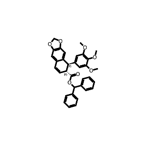 COc1cc([C@@H]2c3cc4c(cc3C=C[C@H]2C(=O)OC(c2ccccc2)c2ccccc2)OCO4)cc(OC)c1OC